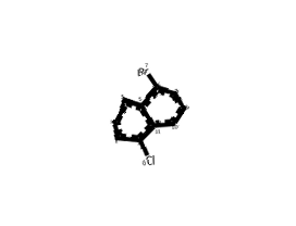 Clc1cccc2c(Br)[c]ccc12